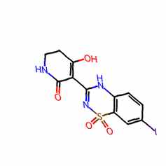 O=C1NCCC(O)=C1C1=NS(=O)(=O)c2cc(I)ccc2N1